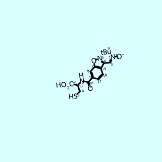 CC(C)(C)/[N+]([O-])=C\c1noc2cc(C(=O)NC(CS)C(=O)O)ccc12